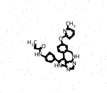 C=CC(=O)Nc1ccc(-c2[nH]c3ncnc4c3c2-c2ccc(Oc3cccc(C)n3)cc2CN4)cc1